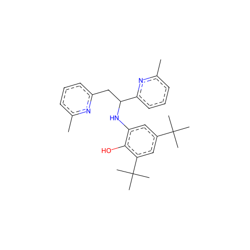 Cc1cccc(CC(Nc2cc(C(C)(C)C)cc(C(C)(C)C)c2O)c2cccc(C)n2)n1